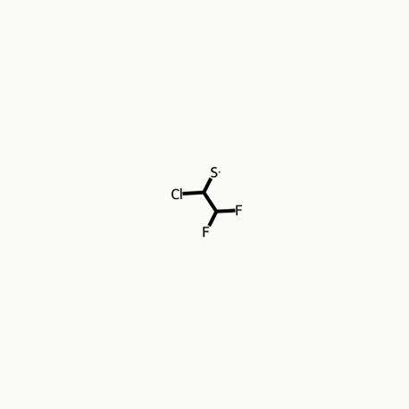 FC(F)C([S])Cl